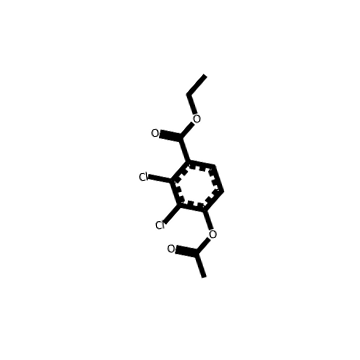 CCOC(=O)c1ccc(OC(C)=O)c(Cl)c1Cl